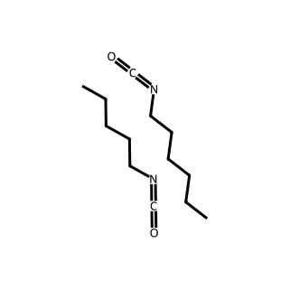 CCCCCCN=C=O.CCCCCN=C=O